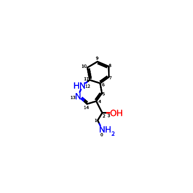 NCC(O)C1=Cc2ccccc2NN=C1